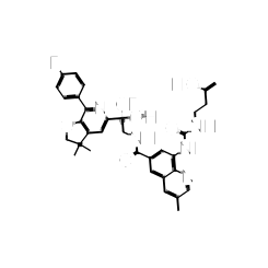 C=C(O)CCNC(=O)Nc1cc(C(=O)NC[C@](O)(c2cc3c(c(-c4ccc(F)cc4)n2)OCC3(C)C)C(F)(F)F)cc2cc(C)cnc12